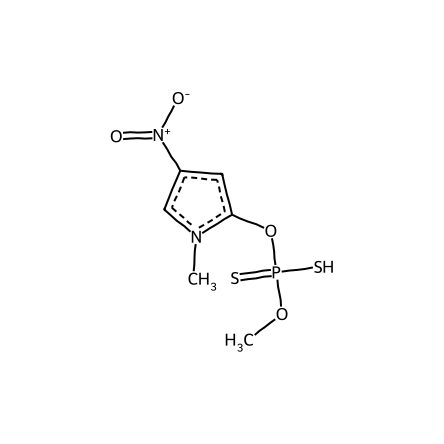 COP(=S)(S)Oc1cc([N+](=O)[O-])cn1C